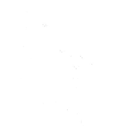 CS(=N)(=O)Cc1cc2cc(c1)OCCCCOc1cc(F)ccc1-c1nc(ncc1F)N2